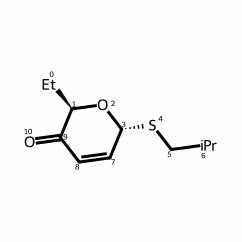 CC[C@H]1O[C@H](SCC(C)C)C=CC1=O